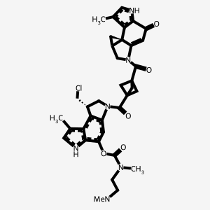 CNCCN(C)C(=O)Oc1cc2c(c3c(C)c[nH]c13)[C@H](CCl)CN2C(=O)C12CC(C(=O)N3CC4C[C@@]45C3=CC(=O)c3[nH]cc(C)c35)(C1)C2